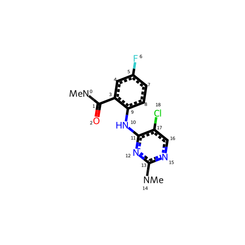 CNC(=O)c1cc(F)ccc1Nc1nc(NC)ncc1Cl